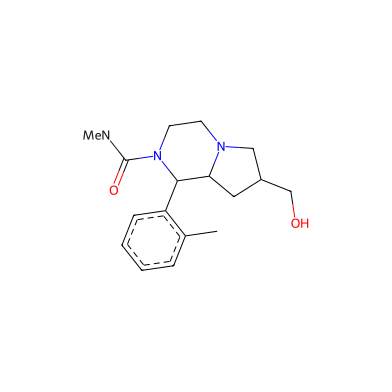 CNC(=O)N1CCN2CC(CO)CC2C1c1ccccc1C